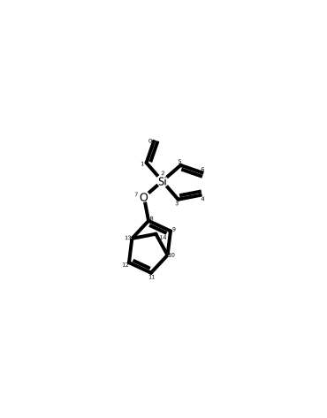 C=C[Si](C=C)(C=C)OC1=CC2C=CC1C2